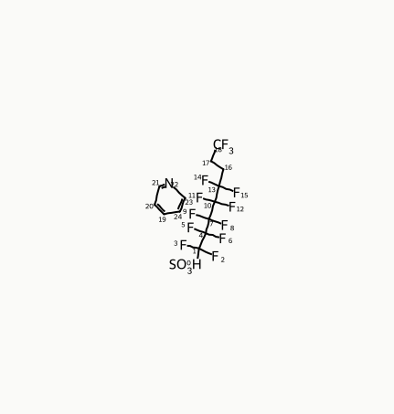 O=S(=O)(O)C(F)(F)C(F)(F)C(F)(F)C(F)(F)C(F)(F)CCC(F)(F)F.c1ccncc1